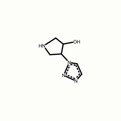 OC1CNCC1n1ccnn1